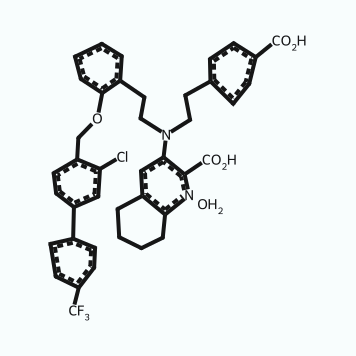 O.O=C(O)c1ccc(CCN(CCc2ccccc2OCc2ccc(-c3ccc(C(F)(F)F)cc3)cc2Cl)c2cc3c(nc2C(=O)O)CCCC3)cc1